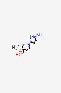 COC1(CO)CCN(c2ccc(N)nc2)CC1